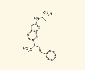 C[C@H](Nc1cc2ccc(C(C=Cc3ccccc3)C(=O)O)cc2s1)C(=O)O